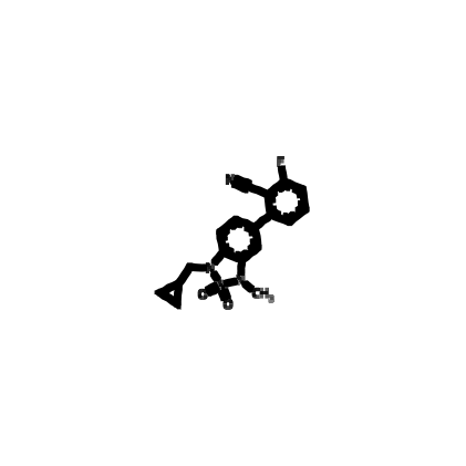 CN1c2cc(-c3cccc(F)c3C#N)ccc2N(CC2CC2)S1(=O)=O